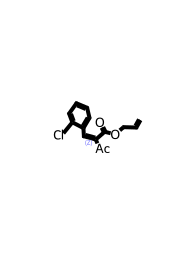 C=CCOC(=O)/C(=C\c1ccccc1Cl)C(C)=O